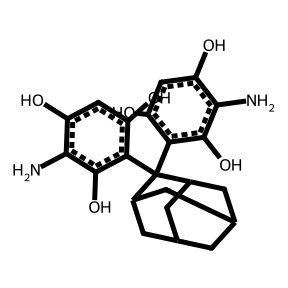 Nc1c(O)cc(O)c(C2(c3c(O)cc(O)c(N)c3O)C3CC4CC(C3)CC2C4)c1O